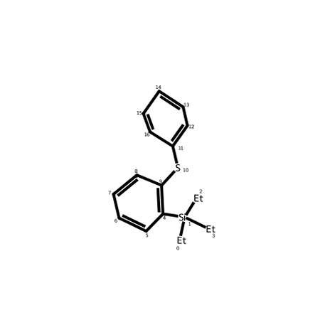 CC[Si](CC)(CC)c1ccc[c]c1Sc1ccccc1